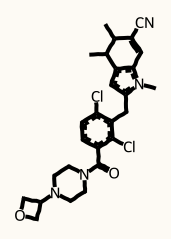 CC1C(C#N)=Cc2c(cc(Cc3c(Cl)ccc(C(=O)N4CCN(C5COC5)CC4)c3Cl)n2C)C1C